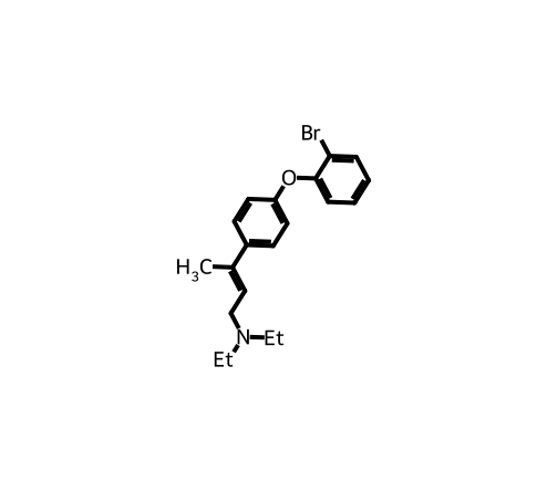 CCN(CC)CC=C(C)c1ccc(Oc2ccccc2Br)cc1